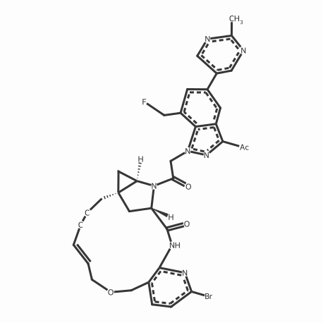 CC(=O)c1nn(CC(=O)N2[C@H]3C[C@@]4(CCC/C=C/COCc5ccc(Br)nc5NC3=O)C[C@@H]24)c2c(CF)cc(-c3cnc(C)nc3)cc12